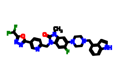 Cn1c(=O)n(Cc2ccc(-c3nnc(C(F)F)o3)cn2)c2cc(F)c(N3CCN(Cc4cccc5[nH]ccc45)CC3)cc21